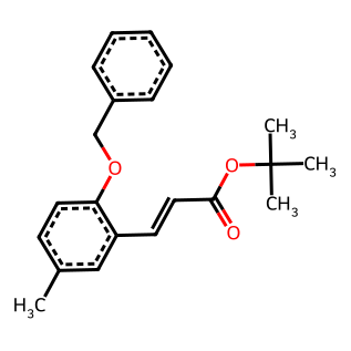 Cc1ccc(OCc2ccccc2)c(/C=C/C(=O)OC(C)(C)C)c1